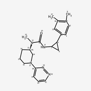 Cc1ccc(C2CC2NC(=O)N(C)[C@@H]2CCCN(c3cccnn3)C2)cc1C